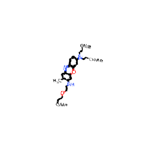 COCCOCCNc1cc2oc3cc(=[N+](CCOC)CCOC)ccc-3nc2cc1C